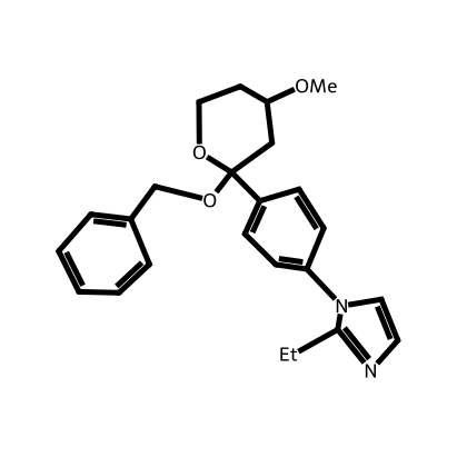 CCc1nccn1-c1ccc(C2(OCc3ccccc3)CC(OC)CCO2)cc1